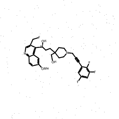 COc1ccc2ncc(CF)c([C@@H](O)CCC3(CO)CCN(CC#Cc4cc(F)cc(F)c4F)CC3)c2c1